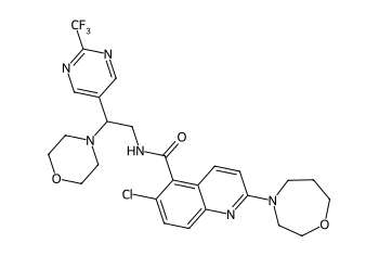 O=C(NCC(c1cnc(C(F)(F)F)nc1)N1CCOCC1)c1c(Cl)ccc2nc(N3CCCOCC3)ccc12